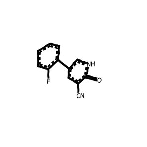 N#Cc1cc(-c2ccccc2F)c[nH]c1=O